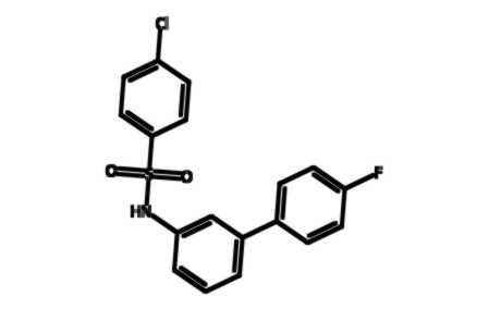 O=S(=O)(Nc1cccc(-c2ccc(F)cc2)c1)c1ccc(Cl)cc1